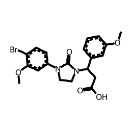 COc1cccc(C(CC(=O)O)N2CCN(c3ccc(Br)c(OC)c3)C2=O)c1